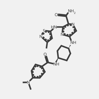 Cc1cc(Nc2nc(N[C@H]3CC[C@H](NC(=O)c4ccc(N(C)C)cc4)CC3)cnc2C(N)=O)sn1